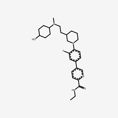 CCNC(=O)c1ccc(-c2ccc(N3CCCC(CCN(C)C4CCC(O)CC4)C3)c(F)c2)cn1